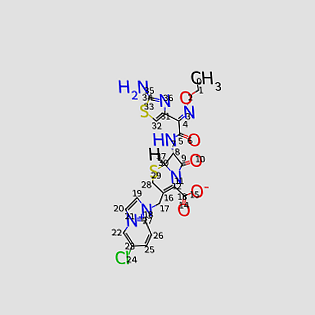 CCO/N=C(/C(=O)N[C@@H]1C(=O)N2C(C(=O)[O-])=C(Cn3cc[n+]4cc(Cl)ccc34)CS[C@H]12)c1csc(N)n1